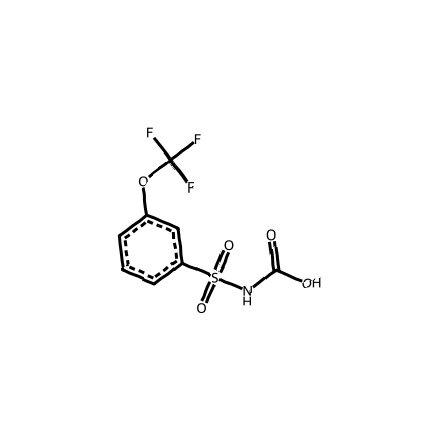 O=C(O)NS(=O)(=O)c1cccc(OC(F)(F)F)c1